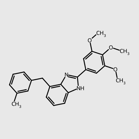 COc1cc(-c2nc3c(Cc4cccc(C)c4)cccc3[nH]2)cc(OC)c1OC